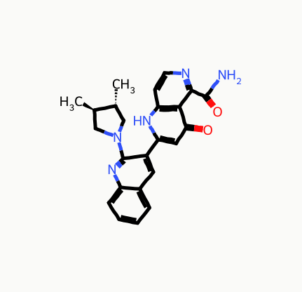 C[C@@H]1CN(c2nc3ccccc3cc2-c2cc(=O)c3c(C(N)=O)nccc3[nH]2)C[C@H]1C